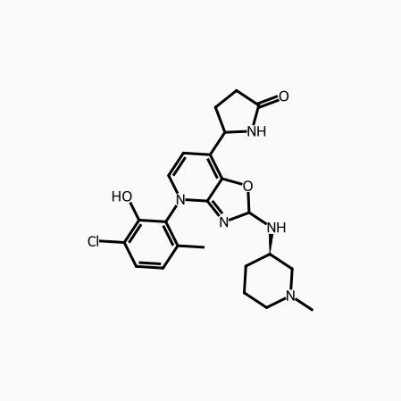 Cc1ccc(Cl)c(O)c1N1C=CC(C2CCC(=O)N2)=C2OC(N[C@@H]3CCCN(C)C3)N=C21